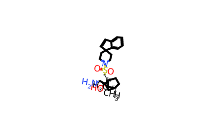 CC1(C)[C@H]2CC[C@]1(CS(=O)(=O)N1CCC3(C=Cc4ccccc43)CC1)[C@@](O)(CN)C2